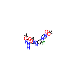 CN(NC(=O)Cc1nc2cc(F)c(N3CCN(C(=O)OC(C)(C)C)CC3)cc2n1C1CC1)C(=O)OC(C)(C)C